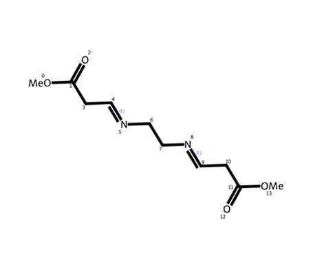 COC(=O)C/C=N/CC/N=C/CC(=O)OC